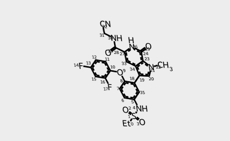 CCS(=O)(=O)Nc1ccc(Oc2ccc(F)cc2F)c(-c2cn(C)c3c(=O)[nH]c(C(=O)NCC#N)cc23)c1